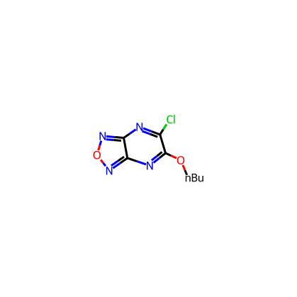 CCCCOc1nc2nonc2nc1Cl